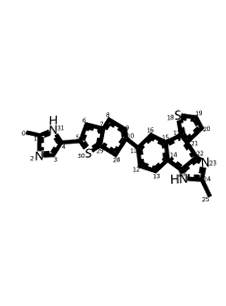 Cc1ncc(-c2cc3ccc(-c4ccc5c(c4)c4sccc4c4nc(C)[nH]c54)cc3s2)[nH]1